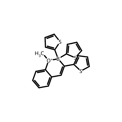 C[O+]1c2ccccc2C=C(c2cccs2)[B-]1(c1cccs1)c1cccs1